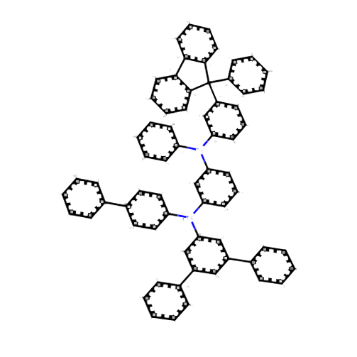 c1ccc(-c2ccc(N(c3cc(-c4ccccc4)cc(-c4ccccc4)c3)c3cccc(N(c4ccccc4)c4cccc(C5(c6ccccc6)c6ccccc6-c6ccccc65)c4)c3)cc2)cc1